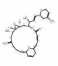 C=C1CCC[C@@H]2C=CC[C@@H](C/C=C\C(=O)O[C@H]([C@@H](O)/C=C/[C@@H]3CC(C)=CCO3)C[C@@H]3O[C@H]3[C@@H](O)C1)O2